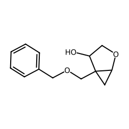 OC1COC2CC12COCc1ccccc1